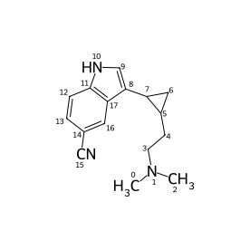 CN(C)CCC1CC1c1c[nH]c2ccc(C#N)cc12